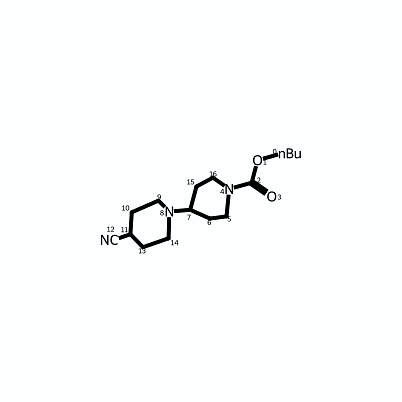 CCCCOC(=O)N1CCC(N2CCC(C#N)CC2)CC1